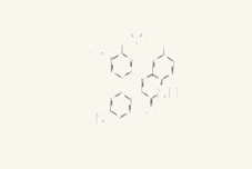 COc1cc(-c2c(-c3ccc([N+](=O)[O-])cc3)c(=O)[nH]c3ccc(C(F)(F)F)cc23)ccc1Cl